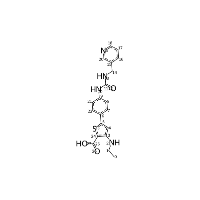 CCNc1cc(-c2ccc(NC(=O)NCc3cccnc3)cc2)sc1C(=O)O